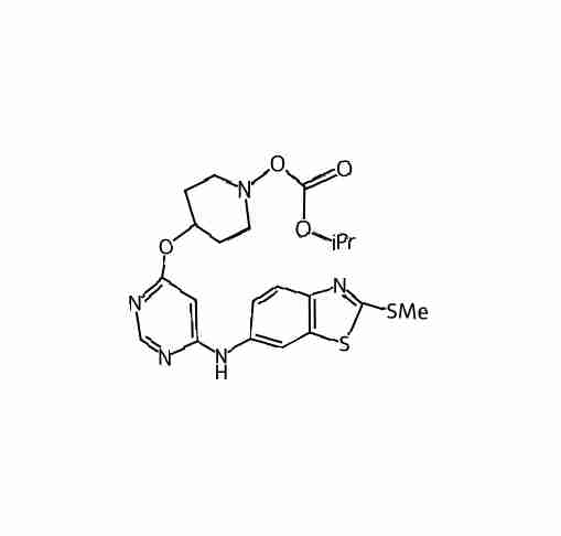 CSc1nc2ccc(Nc3cc(OC4CCN(OC(=O)OC(C)C)CC4)ncn3)cc2s1